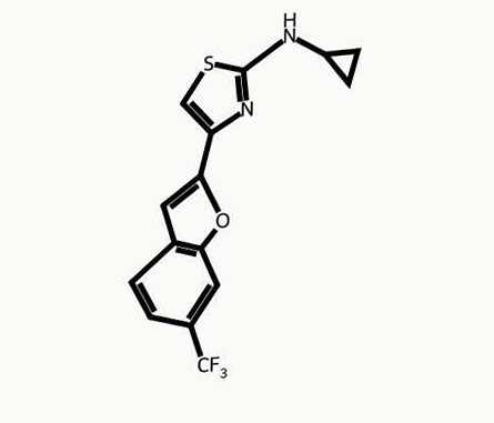 FC(F)(F)c1ccc2cc(-c3csc(NC4CC4)n3)oc2c1